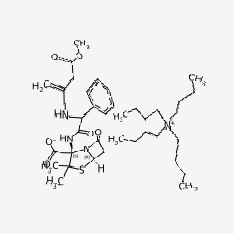 C=C(CC(=O)OC)NC(C(=O)N[C@@]1(C(=O)[O-])N2C(=O)C[C@H]2SC1(C)C)c1ccccc1.CCCC[N+](CCCC)(CCCC)CCCC